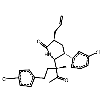 C=CC[C@H]1C[C@H](c2cccc(Cl)c2)[C@@H]([C@@](C)(CCc2ccc(Cl)cc2)C(C)=O)NC1=O